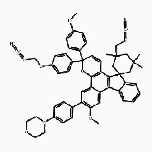 COc1ccc(C2(c3ccc(OCN=[N+]=[N-])cc3)C=Cc3c4c(c5cc(OC)c(-c6ccc(N7CCOCC7)cc6)cc5c3O2)-c2ccccc2C42CC(C)(C)CC(C)(CN=[N+]=[N-])C2)cc1